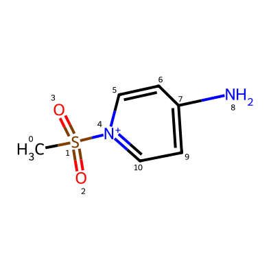 CS(=O)(=O)[n+]1ccc(N)cc1